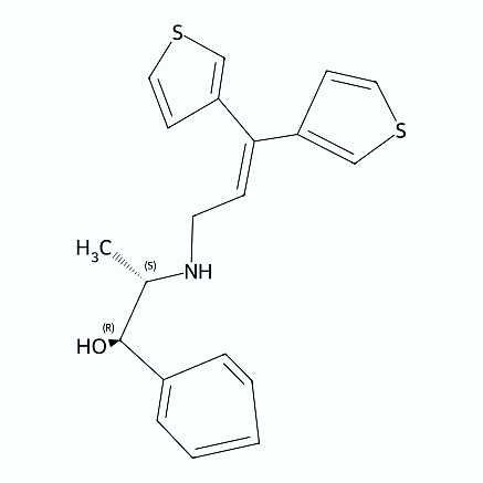 C[C@H](NCC=C(c1ccsc1)c1ccsc1)[C@H](O)c1ccccc1